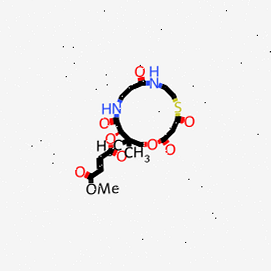 COC(=O)/C=C/C(=O)O[C@H]1C(=O)NCCC(=O)NCCSC(=O)CC(=O)OCC1(C)C